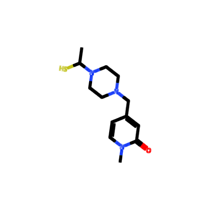 CC(S)N1CCN(Cc2ccn(C)c(=O)c2)CC1